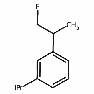 C[C](CF)c1cccc(C(C)C)c1